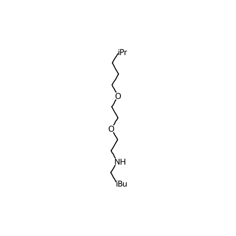 CCC(C)CNCCOCCOCCCC(C)C